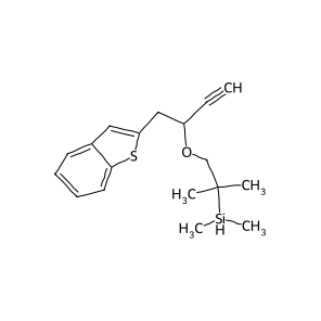 C#CC(Cc1cc2ccccc2s1)OCC(C)(C)[SiH](C)C